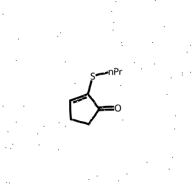 CCCSC1=CCCC1=O